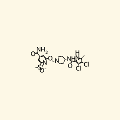 Cc1[nH]c(C(=O)NC2CCN(COc3cc(C(N)=O)cc([S+](C)[O-])n3)CC2)c(Cl)c1Cl